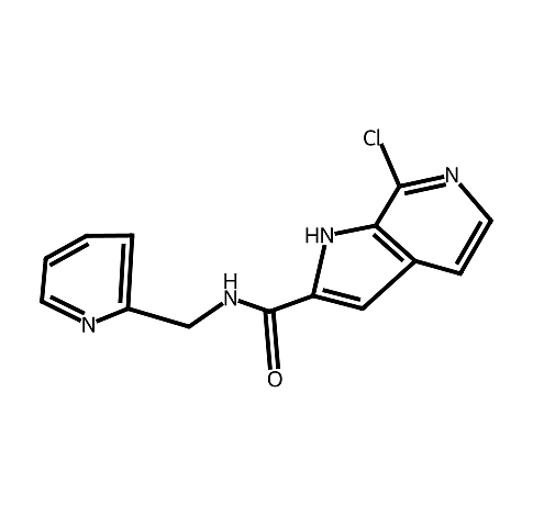 O=C(NCc1ccccn1)c1cc2ccnc(Cl)c2[nH]1